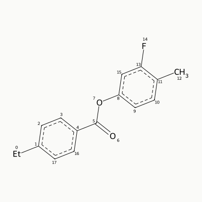 CCc1ccc(C(=O)Oc2ccc(C)c(F)c2)cc1